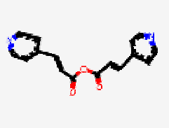 O=C(/C=C/c1ccncc1)OC(=O)/C=C/c1ccncc1